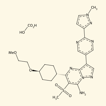 COCCO[C@H]1CC[C@H](c2nc3c(-c4cnc(-c5ccn(C)n5)nc4)cnn3c(N)c2S(C)(=O)=O)CC1.O=C(O)O